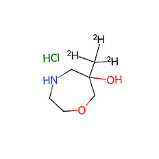 Cl.[2H]C([2H])([2H])C1(O)CNCCOC1